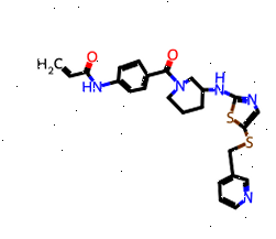 C=CC(=O)Nc1ccc(C(=O)N2CCCC(Nc3ncc(SCc4cccnc4)s3)C2)cc1